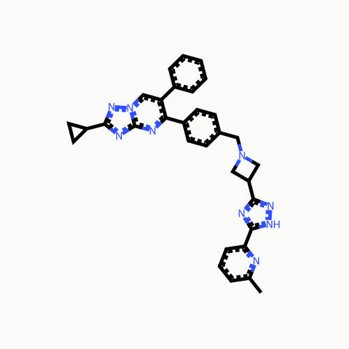 Cc1cccc(-c2nc(C3CN(Cc4ccc(-c5nc6nc(C7CC7)nn6cc5-c5ccccc5)cc4)C3)n[nH]2)n1